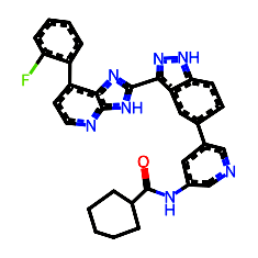 O=C(Nc1cncc(-c2ccc3[nH]nc(-c4nc5c(-c6ccccc6F)ccnc5[nH]4)c3c2)c1)C1CCCCC1